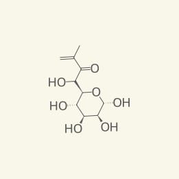 C=C(C)C(=O)C(O)[C@H]1O[C@H](O)[C@@H](O)[C@@H](O)[C@@H]1O